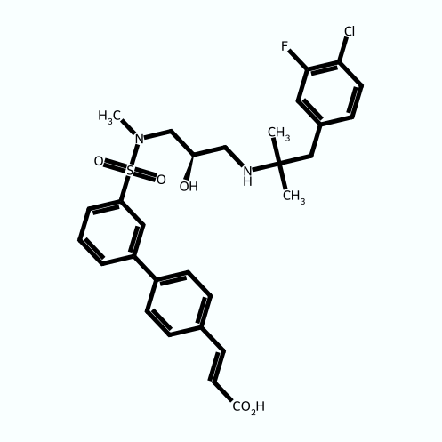 CN(C[C@H](O)CNC(C)(C)Cc1ccc(Cl)c(F)c1)S(=O)(=O)c1cccc(-c2ccc(/C=C/C(=O)O)cc2)c1